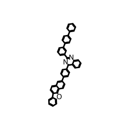 c1ccc(-c2ccc(-c3cccc(-c4nc(-c5ccc(-c6ccc7c(ccc8c9ccccc9oc78)c6)cc5)c5ccccc5n4)c3)cc2)cc1